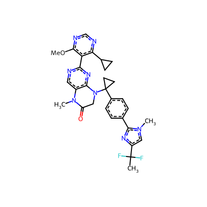 COc1ncnc(C2CC2)c1-c1ncc2c(n1)N(C1(c3ccc(-c4nc(C(C)(F)F)cn4C)cc3)CC1)CC(=O)N2C